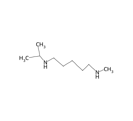 CNCCCCCNC(C)C